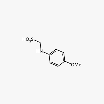 COc1ccc(NCS(=O)(=O)O)cc1